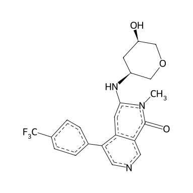 Cn1c(N[C@@H]2COC[C@H](O)C2)cc2c(-c3ccc(C(F)(F)F)cc3)cncc2c1=O